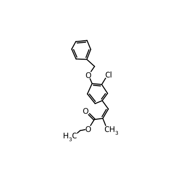 CCOC(=O)C(C)=Cc1ccc(OCc2ccccc2)c(Cl)c1